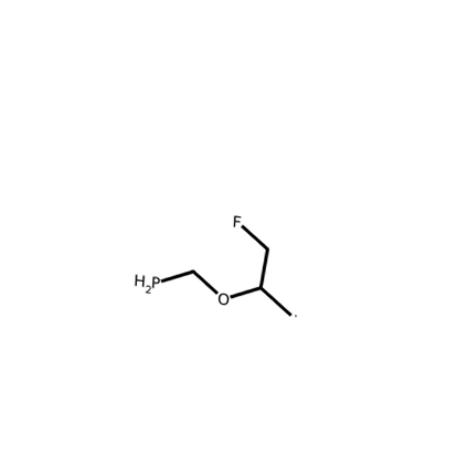 [CH2]C(CF)OCP